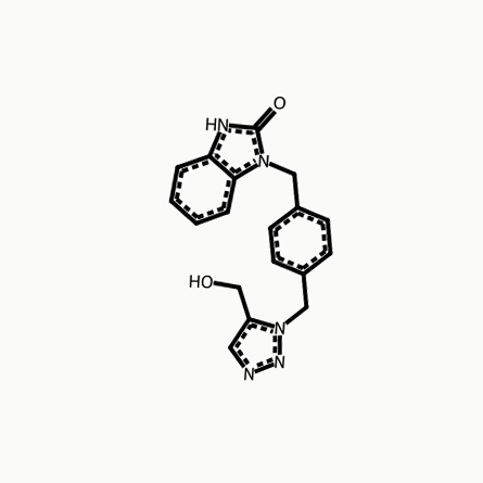 O=c1[nH]c2ccccc2n1Cc1ccc(Cn2nncc2CO)cc1